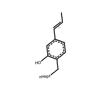 C/C=C/c1ccc(CCCCCCCC)c(O)c1